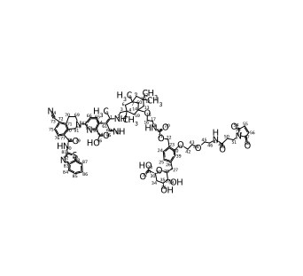 C/C(NCC1(C)CC2(C)CC(C)(C)CC(OCCNC(=O)OCc3ccc(C[C@@H]4O[C@H](C(=O)O)C[C@H](O)[C@@H]4O)cc3OCCOCCNC(=O)CCN3C(=O)C=CC3=O)(C1)C2)=C(/C=N)c1ccc(N2CCc3c(C#N)ccc(C(=O)Nc4nc5ccccc5s4)c3C2)nc1C(=O)O